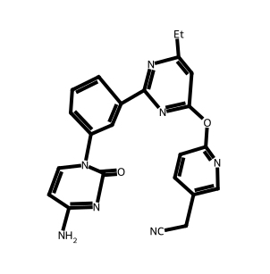 CCc1cc(Oc2ccc(CC#N)cn2)nc(-c2cccc(-n3ccc(N)nc3=O)c2)n1